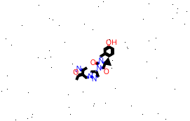 Cc1noc(C)c1CN1CC(N2C(=O)N(Cc3cccc(O)c3)C3(CC3)C2=O)C=N1